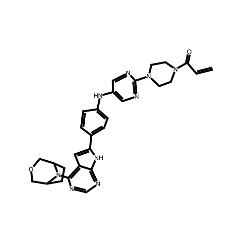 C=CC(=O)N1CCN(c2ncc(Nc3ccc(-c4cc5c(N6C7CCC6COC7)ncnc5[nH]4)cc3)cn2)CC1